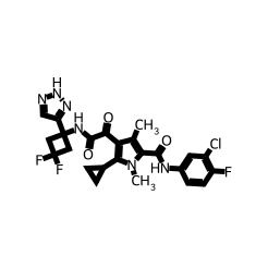 Cc1c(C(=O)C(=O)NC2(c3cn[nH]n3)CC(F)(F)C2)c(C2CC2)n(C)c1C(=O)Nc1ccc(F)c(Cl)c1